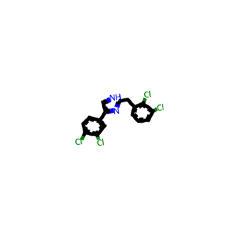 Clc1ccc(-c2c[nH]c(Cc3cccc(Cl)c3Cl)n2)cc1Cl